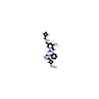 CO[C@H]1C[C@](c2cccc(-n3cc4c(C(F)(F)F)cc(CNCC5CCC5)cn4c3=O)c2)(c2nncn2C)C1